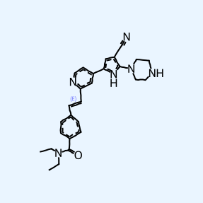 CCN(CC)C(=O)c1ccc(/C=C/c2cc(-c3cc(C#N)c(N4CCNCC4)[nH]3)ccn2)cc1